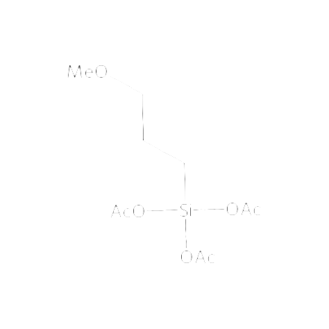 COCCC[Si](OC(C)=O)(OC(C)=O)OC(C)=O